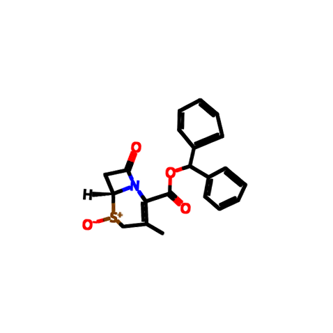 CC1=C(C(=O)OC(c2ccccc2)c2ccccc2)N2C(=O)C[C@H]2[S+]([O-])C1